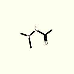 [CH2]C(=O)NN(C)C